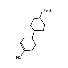 CCCCCC1CCC(C2CC=C(C#N)CC2)CC1